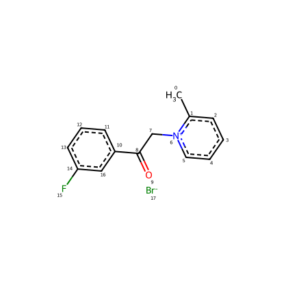 Cc1cccc[n+]1CC(=O)c1cccc(F)c1.[Br-]